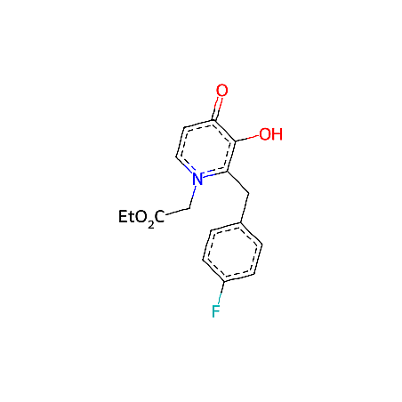 CCOC(=O)Cn1ccc(=O)c(O)c1Cc1ccc(F)cc1